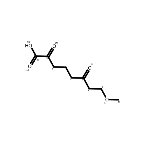 COCCC(=O)CCCC(=O)C(=O)O